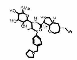 CSC1OC([C@H](NC(=O)[C@H]2NC[C@@H]3C[C@H](CC(C)C)CCO[C@H]32)[C@H](C)Sc2ccc(CN3CCCC3)cc2)C(O)C(O)C1O